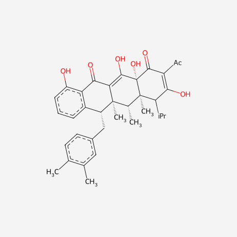 CC(=O)C1=C(O)C(C(C)C)[C@@]2(C)[C@H](C)[C@]3(C)C(=C(O)[C@@]2(O)C1=O)C(=O)c1c(O)cccc1[C@H]3Cc1ccc(C)c(C)c1